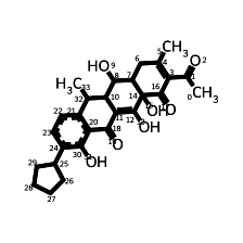 CC(=O)C1=C(C)CC2C(O)C3C(=C(O)C2(O)C1=O)C(=O)c1c(ccc(C2CCCC2)c1O)C3C